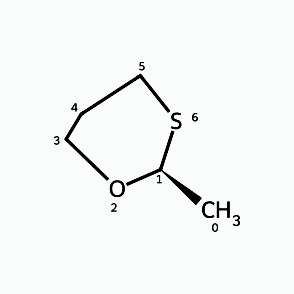 C[C@H]1OCCCS1